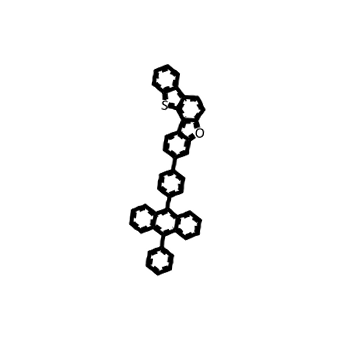 c1ccc(-c2c3ccccc3c(-c3ccc(-c4ccc5c(c4)oc4ccc6c7ccccc7sc6c45)cc3)c3ccccc23)cc1